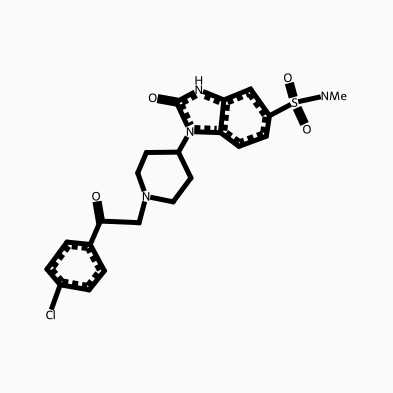 CNS(=O)(=O)c1ccc2c(c1)[nH]c(=O)n2C1CCN(CC(=O)c2ccc(Cl)cc2)CC1